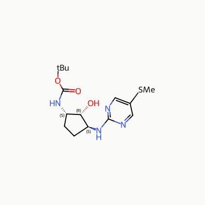 CSc1cnc(N[C@H]2CC[C@H](NC(=O)OC(C)(C)C)[C@@H]2O)nc1